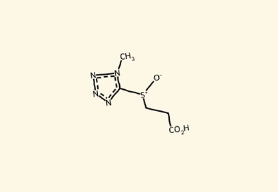 Cn1nnnc1[S+]([O-])CCC(=O)O